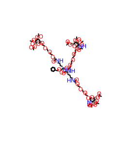 CC(=O)/N=C1/[C@H](OCCOCCOCCOCC(=O)NCCCC[C@H](NC(=O)COCCOCCOCCO[C@@H]2O[C@H](COC(C)=O)[C@H](OC(C)=O)[C@H](OC(C)=O)[C@H]2NC(C)=O)C(=O)N[C@@H](CCCCNC(=O)COCCOCCOCCO[C@H]2C[C@@H](OC(C)=O)[C@@H](OC(C)=O)[C@@H](COC(C)=O)O2)C(=O)OCc2ccccc2)O[C@H](COC(C)=O)[C@H](OC(C)=O)[C@@H]1OC(C)=O